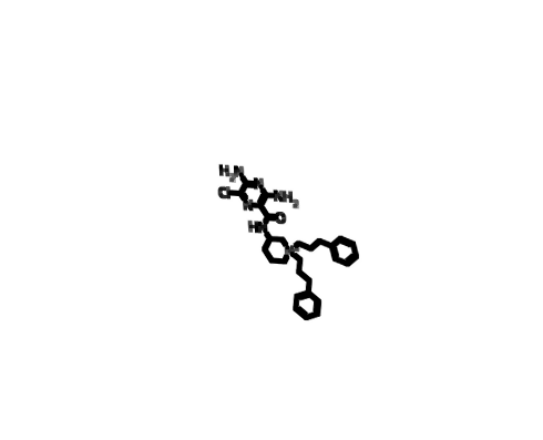 Nc1nc(N)c(C(=O)NC2CCC[N+](CCCc3ccccc3)(CCCc3ccccc3)C2)nc1Cl